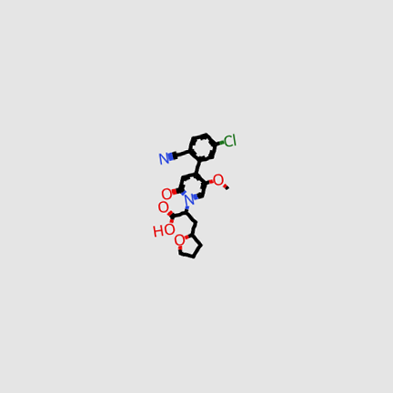 COc1cn(C(CC2CCCO2)C(=O)O)c(=O)cc1-c1cc(Cl)ccc1C#N